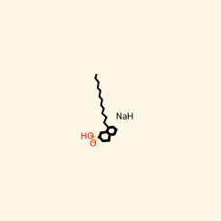 CCCCCCCCCCCCc1cccc2ccc(S(=O)O)cc12.[NaH]